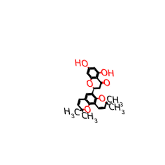 CC1(C)C=Cc2cc([C@@H]3CC(=O)c4c(O)cc(O)cc4O3)c3c(c2O1)C=CC(C)(C)O3